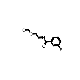 CCOCC=NC(=O)c1cccc(F)c1